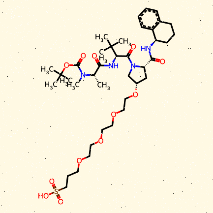 C[C@@H](C(=O)N[C@H](C(=O)N1C[C@@H](OCCOCCOCCOCCCS(=O)(=O)O)C[C@H]1C(=O)N[C@@H]1CCCc2ccccc21)C(C)(C)C)N(C)C(=O)OC(C)(C)C